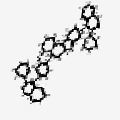 c1ccc(-c2ccc3ccccc3c2-c2ccc3c(c2)Sc2cccc4c2c-3cc2sc3cc(-c5c(-c6ccccc6)ccc6ccccc56)ccc3c24)cc1